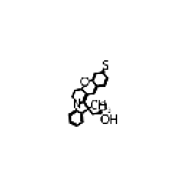 CC1(CC(=O)O)C2=C3C=C4C=CC(=S)C=C4OC3CCN2c2ccccc21